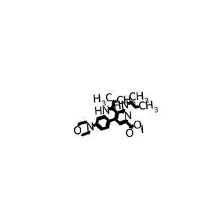 CCC(C)Nc1nc(C(=O)OI)cc(-c2ccc(N3CCOCC3)cc2)c1C(=N)C(C)C